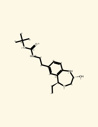 CC[C@@H]1OC[C@@H](O)Nc2ccc(CCNC(=O)OC(C)(C)C)cc21